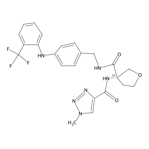 Cn1cc(C(=O)N[C@@]2(C(=O)NCc3ccc(Nc4ccccc4C(F)(F)F)cc3)CCOC2)nn1